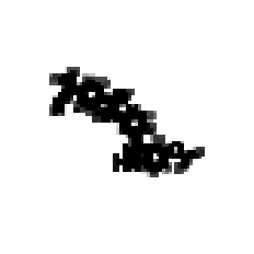 CC(C)Oc1ccc2[nH]nc(-c3ccnc(N[S+]([O-])c4ccc(C5(C#N)CC5)cc4)c3)c2c1